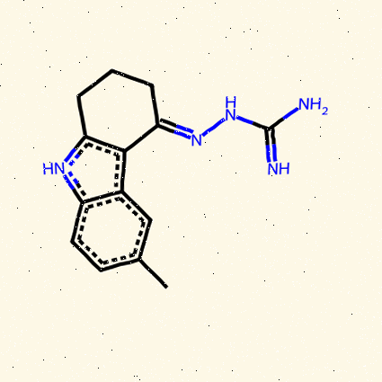 Cc1ccc2[nH]c3c(c2c1)C(=NNC(=N)N)CCC3